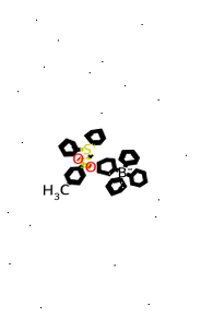 Cc1ccc(S(=O)(=O)C[S+](c2ccccc2)c2ccccc2)cc1.c1ccc([B-](c2ccccc2)(C2CCCCC2)C2CCCCC2)cc1